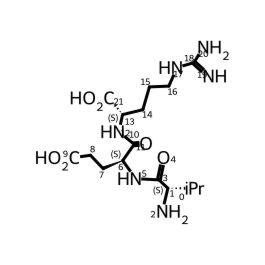 CC(C)[C@H](N)C(=O)N[C@@H](CCC(=O)O)C(=O)N[C@@H](CCCNC(=N)N)C(=O)O